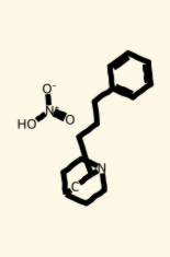 O=[N+]([O-])O.c1ccc(CCCC2CC3CCN2CC3)cc1